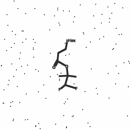 CCCCCCCCC(=O)OC(C)(C)C(F)F